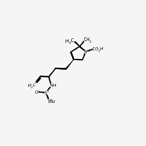 C=CC(CC[C@@H]1CN(C(=O)O)C(C)(C)C1)N[S+]([O-])C(C)(C)C